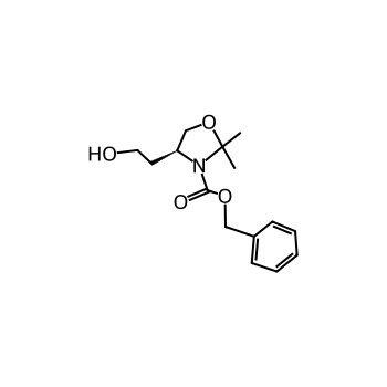 CC1(C)OC[C@H](CCO)N1C(=O)OCc1ccccc1